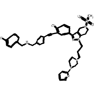 CS(=O)(=O)N1CCc2c(c(-c3ccc(Cl)c(C#Cc4ccc(CNCc5ccc(Cl)cc5)cc4)c3)nn2CCCN2CCN(c3ccccn3)CC2)C1